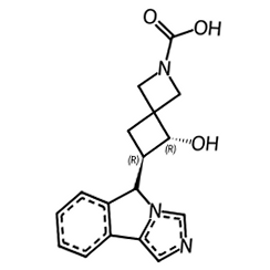 O=C(O)N1CC2(C[C@H](C3c4ccccc4-c4cncn43)[C@H]2O)C1